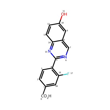 O=C(O)c1ccc(-c2ncc3cc(O)ccc3n2)c(F)c1